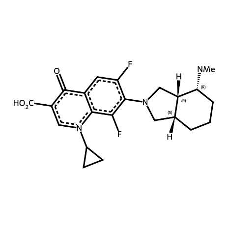 CN[C@@H]1CCC[C@@H]2CN(c3c(F)cc4c(=O)c(C(=O)O)cn(C5CC5)c4c3F)C[C@@H]21